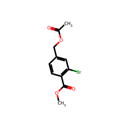 COC(=O)c1ccc(COC(C)=O)cc1Br